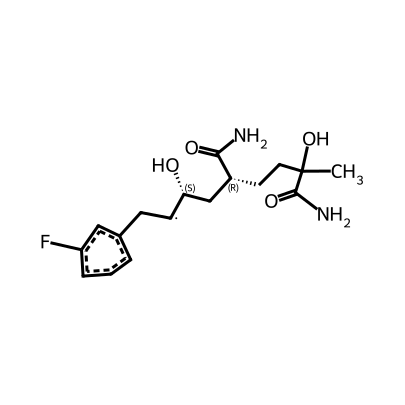 CC(O)(CC[C@H](C[C@@H](O)[CH]Cc1cccc(F)c1)C(N)=O)C(N)=O